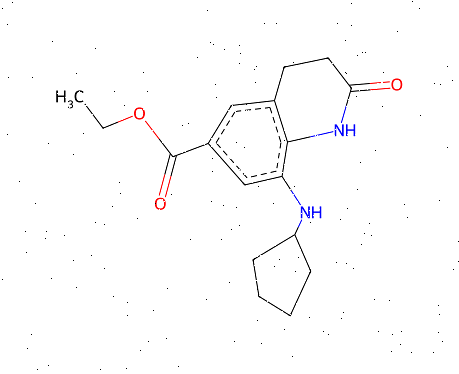 CCOC(=O)c1cc2c(c(NC3CCCC3)c1)NC(=O)CC2